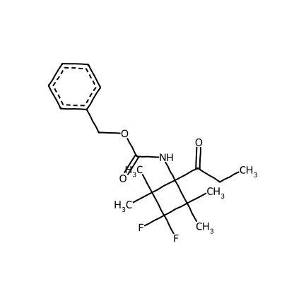 CCC(=O)C1(NC(=O)OCc2ccccc2)C(C)(C)C(F)(F)C1(C)C